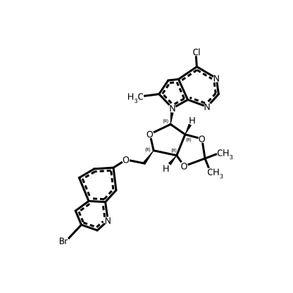 Cc1cc2c(Cl)ncnc2n1[C@@H]1O[C@H](COc2ccc3cc(Br)cnc3c2)[C@H]2OC(C)(C)O[C@H]21